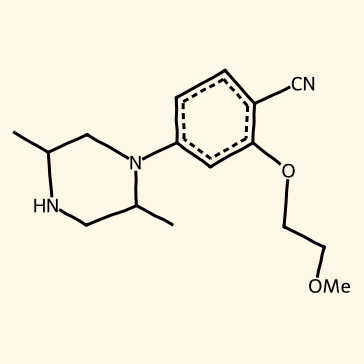 COCCOc1cc(N2CC(C)NCC2C)ccc1C#N